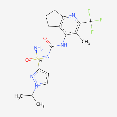 Cc1c(C(F)(F)F)nc2c(c1NC(=O)N=[S@@](N)(=O)c1ccn(C(C)C)n1)CCC2